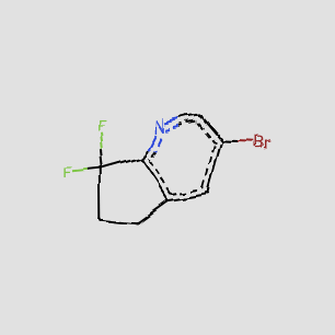 FC1(F)CCc2cc(Br)cnc21